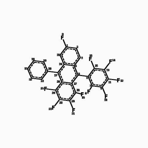 Fc1ccc2c(-c3c(F)c(F)c(F)c(F)c3F)c3c(F)c(F)c(F)c(F)c3c(-c3ccccc3)c2c1